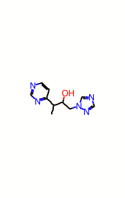 CC(c1ccncn1)C(O)Cn1cncn1